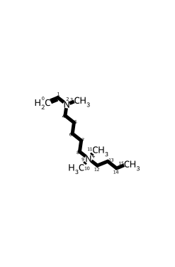 C=CN(C)CCCCC[N+](C)(C)CCCC